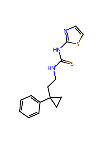 S=C(NCCC1(c2ccccc2)CC1)Nc1nccs1